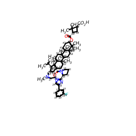 C=C(C)[C@@H]1CC[C@]2(C(=O)N3CCC[C@H]3c3nc(-c4cccc(F)c4)cn3CCN(C)C)CC[C@]3(C)[C@H](CC[C@@H]4[C@@]5(C)CC[C@H](OC(=O)[C@H]6C[C@@H](C(=O)O)C6(C)C)C(C)(C)[C@@H]5CC[C@]43C)[C@@H]12